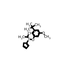 COc1cc([O][Ti]([C]2=CC=CC2)=[C](C)C)cc(C(C)(C)C)c1